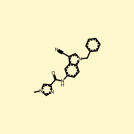 Cn1cnc(C(=O)Nc2ccc3c(c2)c(C#N)cn3Cc2ccccc2)c1